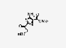 CCCCOC(=O)c1nc(C(=O)OC)c(N)s1